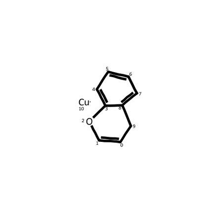 C1=COc2ccccc2C1.[Cu]